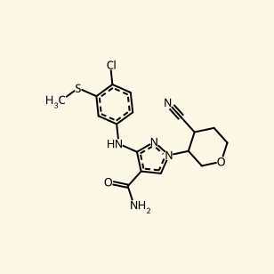 CSc1cc(Nc2nn(C3COCCC3C#N)cc2C(N)=O)ccc1Cl